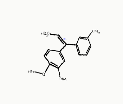 CCCOc1ccc(/C(=C\C(=O)O)c2cccc(C)c2)cc1OC